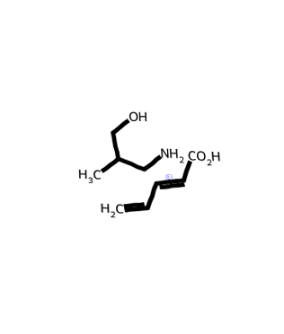 C=C/C=C/C(=O)O.CC(CN)CO